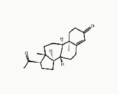 CC(=O)[C@@H]1CC[C@@H]2[C@H]3CCC4=CC(=O)CC[C@]4(C)[C@@H]3CC[C@]21C